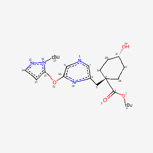 CC(C)(C)OC(=O)[C@]1(Cc2cncc(Oc3ccnn3C(C)(C)C)n2)CC[C@H](O)CC1